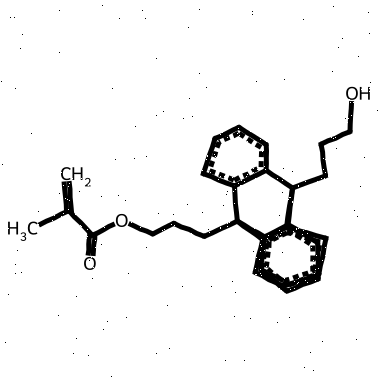 C=C(C)C(=O)OCCCC12c3ccccc3C(CCCO)(c3ccccc31)c1ccccc12